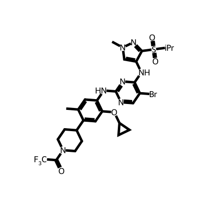 Cc1cc(Nc2ncc(Br)c(Nc3cn(C)nc3S(=O)(=O)C(C)C)n2)c(OC2CC2)cc1C1CCN(C(=O)C(F)(F)F)CC1